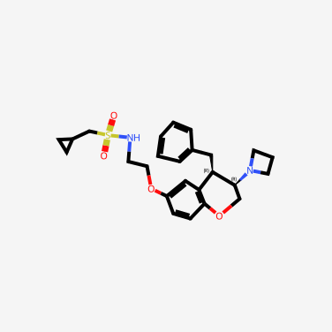 O=S(=O)(CC1CC1)NCCOc1ccc2c(c1)[C@@H](Cc1ccccc1)[C@@H](N1CCC1)CO2